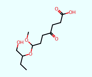 CCC(CO)OC(CCC(=O)CCC(=O)O)OC